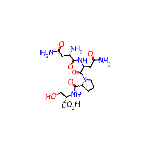 NC(=O)C[C@H](NC(=O)[C@@H](N)CC(N)=O)C(=O)N1CCC[C@H]1C(=O)N[C@@H](CO)C(=O)O